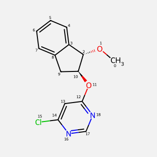 CO[C@H]1c2ccccc2C[C@@H]1Oc1cc(Cl)ncn1